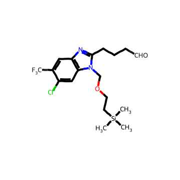 C[Si](C)(C)CCOCn1c(CCCC=O)nc2cc(C(F)(F)F)c(Cl)cc21